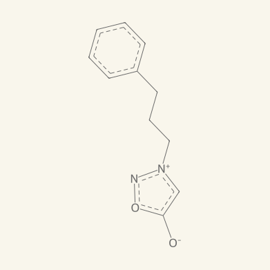 [O-]c1c[n+](CCCc2ccccc2)no1